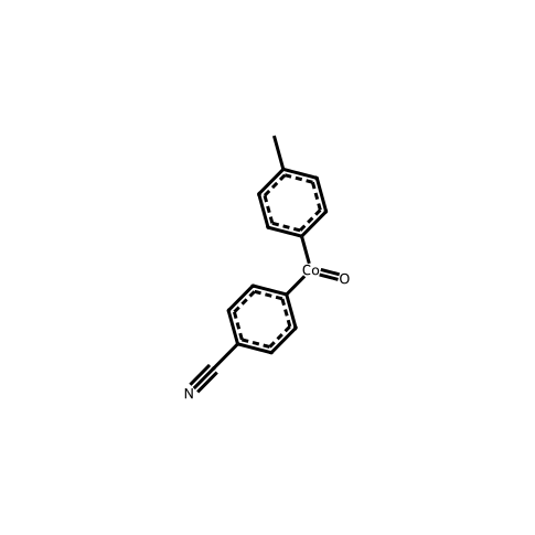 Cc1cc[c]([Co](=[O])[c]2ccc(C#N)cc2)cc1